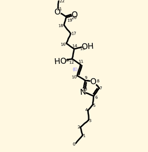 CCCCCCc1coc(/C=C/C(O)C(O)CCCC(=O)OC)n1